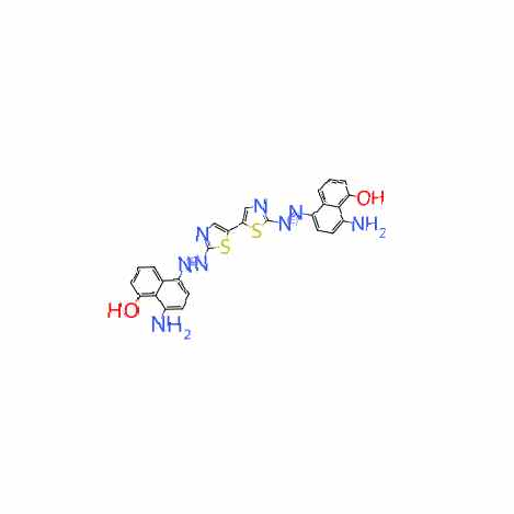 Nc1ccc(/N=N/c2ncc(-c3cnc(/N=N/c4ccc(N)c5c(O)cccc45)s3)s2)c2cccc(O)c12